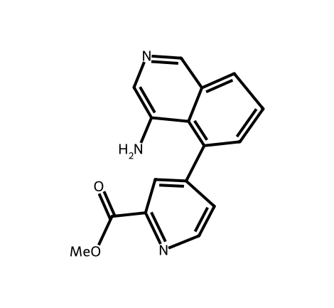 COC(=O)c1cc(-c2cccc3cncc(N)c23)ccn1